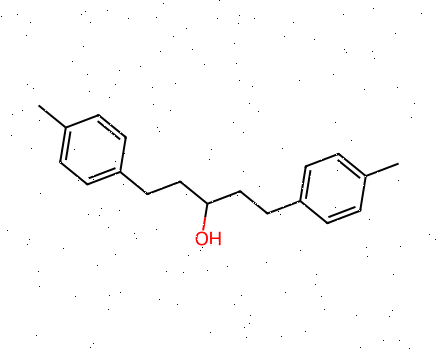 Cc1ccc(CCC(O)CCc2ccc(C)cc2)cc1